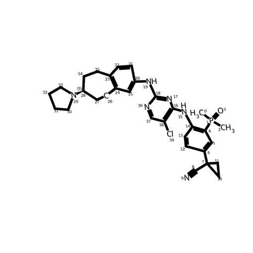 CP(C)(=O)c1cc(C2(C#N)CC2)ccc1Nc1nc(Nc2ccc3c(c2)CC[C@@H](N2CCCC2)CC3)ncc1Cl